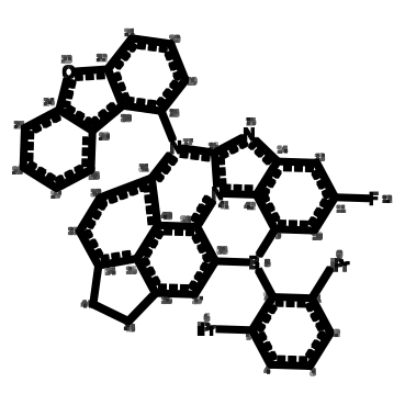 CC(C)c1cccc(C(C)C)c1B1c2cc(F)cc3nc4n(-c5cccc6oc7ccccc7c56)c5ccc6c7c(cc1c(c75)n4c23)CC6